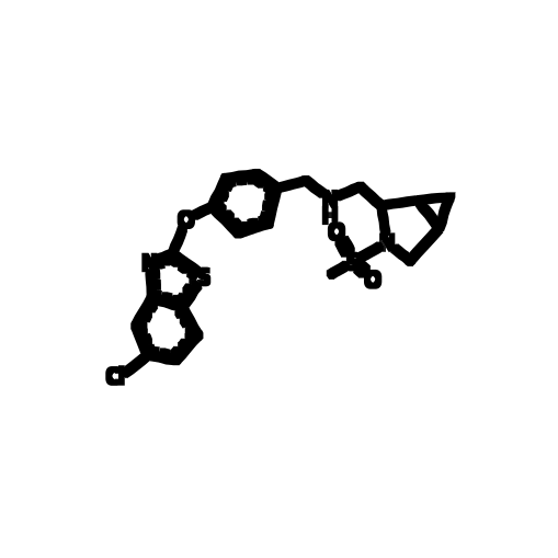 CS(=O)(=O)N1CC2CC2C1CNCc1ccc(Oc2nc3cc(Cl)ccc3s2)cc1